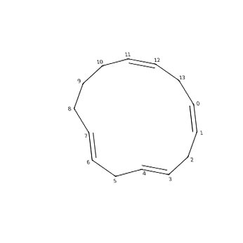 C1=C\C/C=C/C/C=C/CCC/C=C\C/1